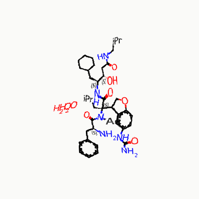 CC(=O)N(C(=O)[C@@H](N)Cc1ccccc1)[C@](CC(C)C)(C(=O)N[C@@H](CC1CCCCC1)[C@@H](O)CC(=O)NCC(C)C)C1COc2ccc(NC(N)=O)cc21.O.O